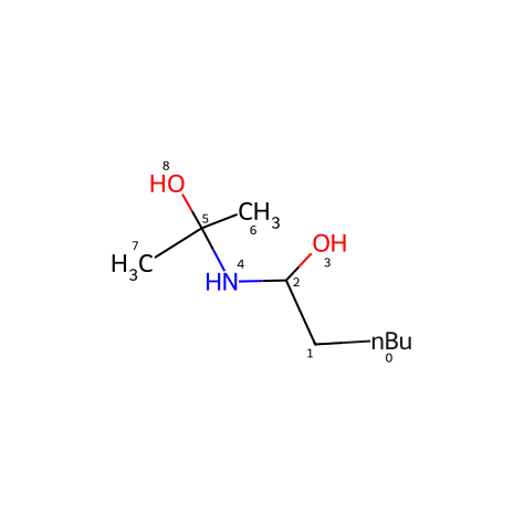 CCCCCC(O)NC(C)(C)O